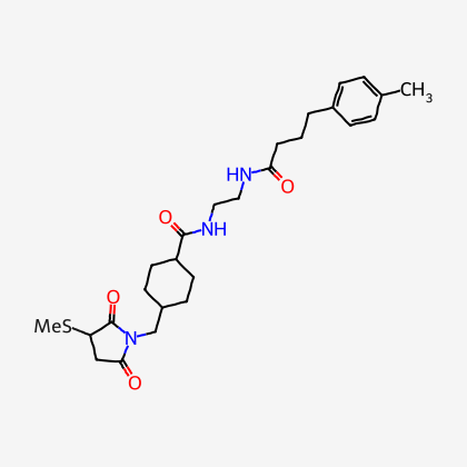 CSC1CC(=O)N(CC2CCC(C(=O)NCCNC(=O)CCCc3ccc(C)cc3)CC2)C1=O